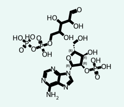 Nc1ncnc2c1ncn2[C@@H]1O[C@H](CO)[C@@H](O)[C@H]1OP(=O)(O)O.O=CC(O)C(O)C(O)COP(=O)(O)OP(=O)(O)O